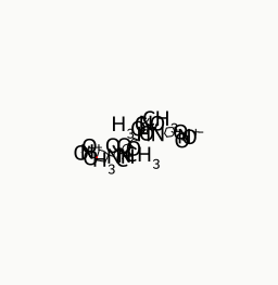 CN(C)C(OC(=O)/C=C/C(=O)OC(C(=O)NC1CCC(O[N+](=O)[O-])CC1)N(C)C)C(=O)NC1CCC(O[N+](=O)[O-])CC1